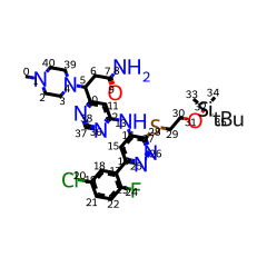 CN1CCN(C(CC(N)=O)c2cc(Nc3cc(-c4cc(Cl)ccc4F)nnc3SCCO[Si](C)(C)C(C)(C)C)ncn2)CC1